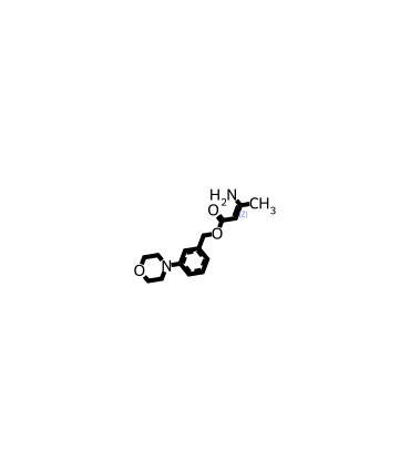 C/C(N)=C/C(=O)OCc1cccc(N2CCOCC2)c1